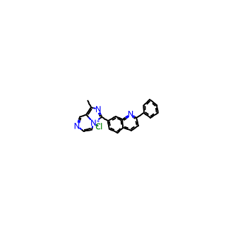 CC1=C2C=NC=C[N+]2(Cl)C(c2ccc3ccc(-c4ccccc4)nc3c2)=N1